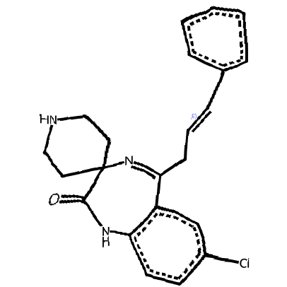 O=C1Nc2ccc(Cl)cc2C(C/C=C/c2ccccc2)=NC12CCNCC2